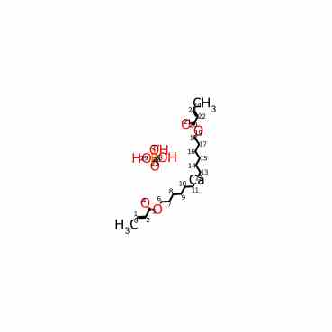 CC=CC(=O)OCCCCC[CH2][Ca][CH2]CCCCCOC(=O)C=CC.O=P(O)(O)O